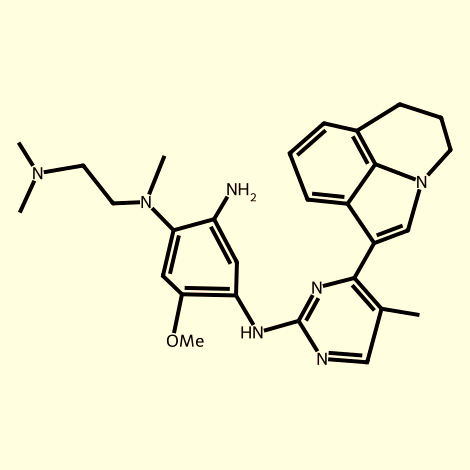 COc1cc(N(C)CCN(C)C)c(N)cc1Nc1ncc(C)c(-c2cn3c4c(cccc24)CCC3)n1